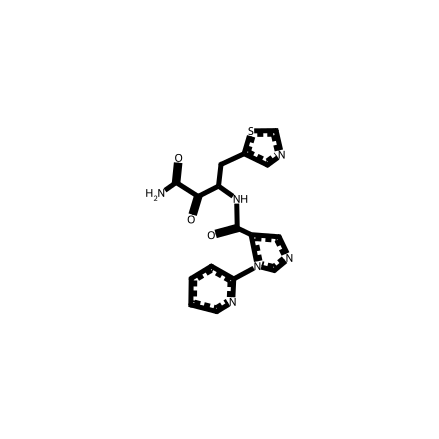 NC(=O)C(=O)C(Cc1cncs1)NC(=O)c1cncn1-c1ccccn1